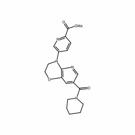 COC(=O)c1ccc(N2CCOc3cc(C(=O)N4CCCCC4)cnc32)cn1